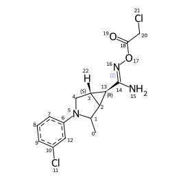 CC1C2[C@H](CN1c1cccc(Cl)c1)[C@H]2/C(N)=N/OC(=O)CCl